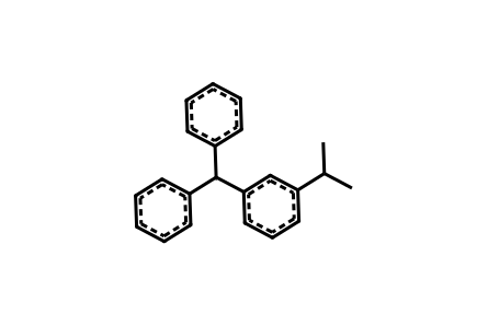 CC(C)c1cccc([C](c2ccccc2)c2ccccc2)c1